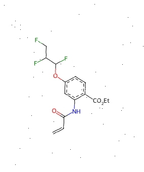 C=CC(=O)Nc1cc(OC(F)C(F)CF)ccc1C(=O)OCC